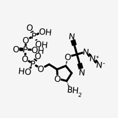 B[C@H]1C[C@@H](OC(C#N)(C#N)N=[N+]=[N-])C(COP(=O)(O)OP(=O)(O)OP(=O)(O)O)O1